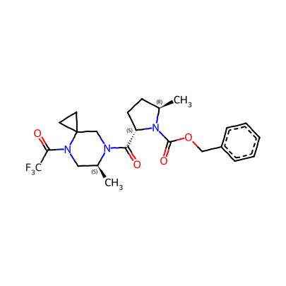 C[C@@H]1CC[C@@H](C(=O)N2CC3(CC3)N(C(=O)C(F)(F)F)C[C@@H]2C)N1C(=O)OCc1ccccc1